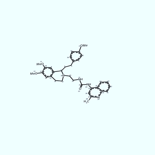 COc1ccc(CCC2c3cc(OC)c(OC)cc3CCN2CCNC(=O)Nc2cc(C)nc3ccccc23)cc1